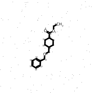 CCOC(=O)C1CCC(COCc2ccccc2)CC1